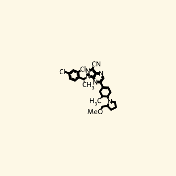 COCC1CCCN1C1CC=C(c2cnc3c(C#N)nn([C@H](C)c4ccc(Cl)cc4Cl)c3n2)CC1C